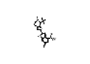 COC(=O)c1cc(F)cc2[nH]c(-c3cc4c(s3)C(C(C)(C)C)NCC4)nc12